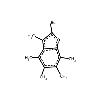 Cc1c(C)c(C)c2c(C)c(C(C)(C)C)oc2c1C